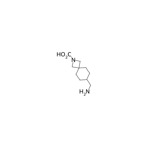 NCC1CCC2(CC1)CN(C(=O)O)C2